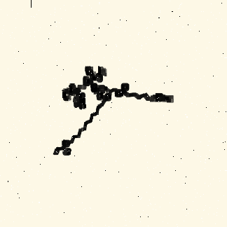 C=CC(=O)OCCCCCCCCCCCC(=O)O[C@@H](CO)COC(=O)CCCCCCCCCCCCCCC.CCON(Cl)C(=O)OCCP(=O)(OCl)OCl